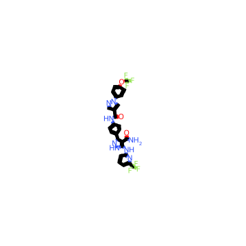 NC(=O)c1c(-c2ccc(NC(=O)c3cnn(-c4ccc(OC(F)(F)F)cc4)c3)cc2)n[nH]c1Nc1cccc(C(F)(F)F)n1